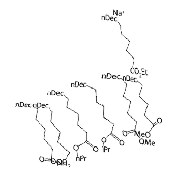 CCCCCCCCCCCCCCC(=O)OC.CCCCCCCCCCCCCCCC(=O)OC.CCCCCCCCCCCCCCCC(=O)OC(C)C.CCCCCCCCCCCCCCCC(=O)OCC.CCCCCCCCCCCCCCCC(=O)OCCC.CCCCCCCCCCCCCCCC(=O)[O-].CCCCCCCCCCCCCCCC(N)=O.[Na+]